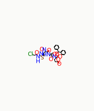 CO/N=C(/C(=O)N[C@H]1CON(C2(C(=O)OC(c3ccccc3)c3ccccc3)CCC(=O)O2)C1=O)c1csc(NC(=O)CCl)n1